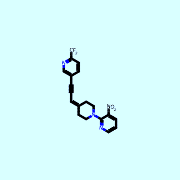 O=[N+]([O-])c1cccnc1N1CCC(=CC#Cc2ccc(C(F)(F)F)nc2)CC1